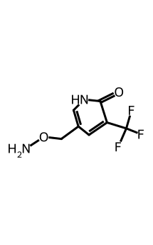 NOCc1c[nH]c(=O)c(C(F)(F)F)c1